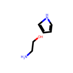 NCCO.c1cc[nH]c1